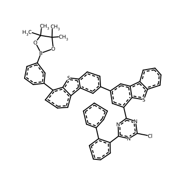 CC1(C)OB(c2cccc(-c3cccc4c3sc3ccc(-c5cc(-c6nc(Cl)nc(-c7ccccc7-c7ccccc7)n6)c6sc7ccccc7c6c5)cc34)c2)OC1(C)C